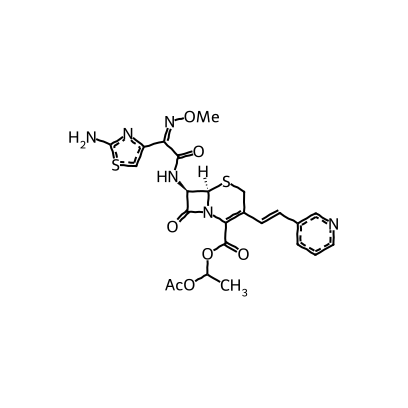 CO/N=C(\C(=O)N[C@@H]1C(=O)N2C(C(=O)OC(C)OC(C)=O)=C(/C=C/c3cccnc3)CS[C@H]12)c1csc(N)n1